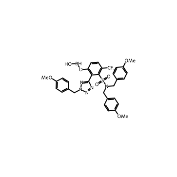 COc1ccc(CN(Cc2ccc(OC)cc2)S(=O)(=O)c2c(C(F)(F)F)ccc(OBO)c2-c2nnn(Cc3ccc(OC)cc3)n2)cc1